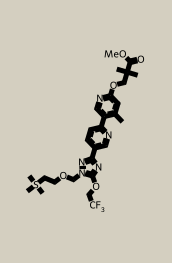 COC(=O)C(C)(C)COc1cc(C)c(-c2ccc(-c3nc(OCC(F)(F)F)n(COCCS(C)(C)C)n3)cn2)cn1